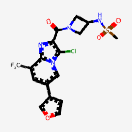 CS(=O)(=O)NC1CN(C(=O)c2nc3c(C(F)(F)F)cc(-c4ccoc4)cn3c2Cl)C1